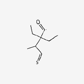 CCC([C]=O)(CC)C(C)C=S